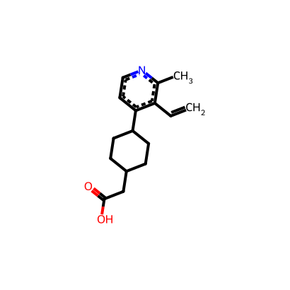 C=Cc1c(C2CCC(CC(=O)O)CC2)ccnc1C